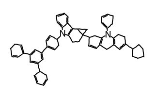 C1=CCCC(N2C3=C(C=C(C4CCCCC4)CC3)CC3=C2CC(C24CCc5c(c6ccccc6n5C5C=CC(c6cc(C7=CCCC=C7)cc(C7C=CC=CC7)c6)=CC5)C2C4)C=C3)=C1